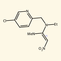 CCN(Cc1ccc(Cl)cn1)/C(=C/[N+](=O)[O-])NC